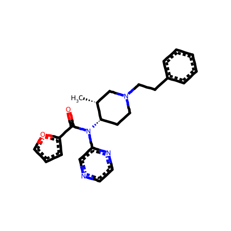 C[C@@H]1CN(CCc2ccccc2)CC[C@@H]1N(C(=O)c1ccco1)c1cnccn1